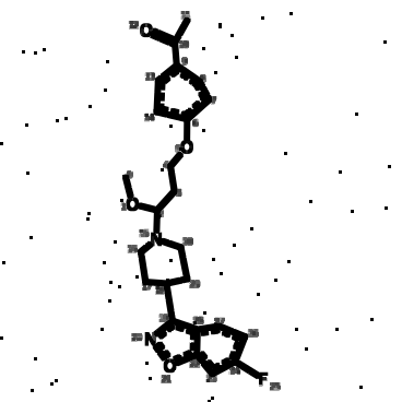 COC(CCOc1ccc(C(C)=O)cc1)N1CCC(c2noc3cc(F)ccc23)CC1